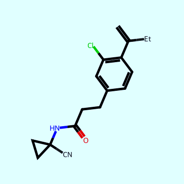 C=C(CC)c1ccc(CCC(=O)NC2(C#N)CC2)cc1Cl